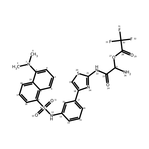 CN(C)c1cccc2c(S(=O)(=O)Nc3cccc(-c4csc(NC(=O)C(N)OC(=O)C(F)(F)F)n4)c3)cccc12